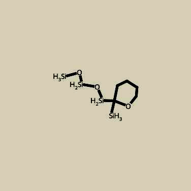 [SiH3]O[SiH2]O[SiH2]C1([SiH3])CCCCO1